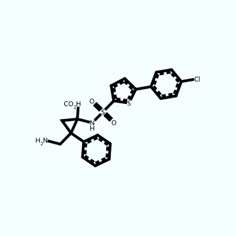 NCC1(c2ccccc2)CC1(NS(=O)(=O)c1ccc(-c2ccc(Cl)cc2)s1)C(=O)O